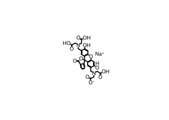 O=C([O-])CN(CC(=O)O)Cc1cc2c(cc1O)Oc1cc(O)c(CN(CC(=O)O)CC(=O)O)cc1C21OC(=O)c2ccccc21.[Na+]